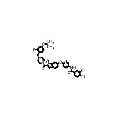 CC(C)Oc1ccc(CN2CCN(C(=O)c3cc4ccc(Oc5ccc(NC(=O)c6ccc(Cl)c(Cl)c6)cn5)cc4n3C)CC2)c(F)c1